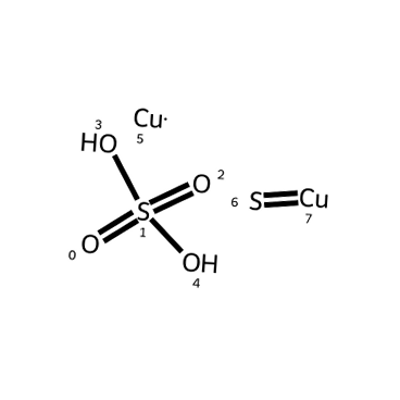 O=S(=O)(O)O.[Cu].[S]=[Cu]